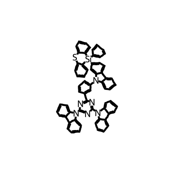 c1ccc([Si]2(c3ccc4c5ccccc5n(-c5cccc(-c6nc(-n7c8ccccc8c8ccccc87)nc(-n7c8ccccc8c8ccccc87)n6)c5)c4c3)c3ccccc3Sc3ccccc32)cc1